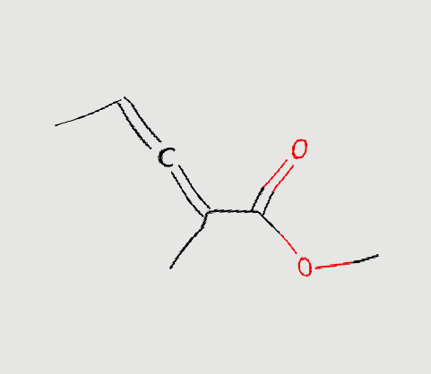 CC=C=C(C)C(=O)OC